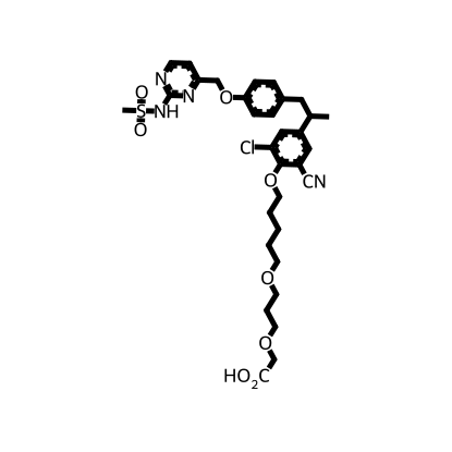 CC(Cc1ccc(OCc2ccnc(NS(C)(=O)=O)n2)cc1)c1cc(Cl)c(OCCCCCOCCCOCC(=O)O)c(C#N)c1